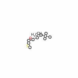 CC1(C)c2ccc(-c3c4ccccc4c(-c4ccccc4)c4ccccc34)cc2-c2ccc(-c3ccc4c(c3)oc3ccc5cc6sc7ccccc7c6cc5c34)cc21